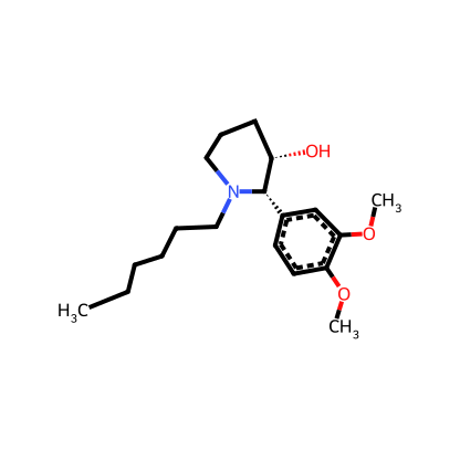 CCCCCCN1CCC[C@H](O)[C@@H]1c1ccc(OC)c(OC)c1